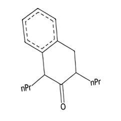 CCCC1Cc2ccccc2C(CCC)C1=O